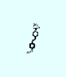 CC(C)Oc1ccc(CCC2CCN(C(=O)OC(C)(C)C)CC2)cc1